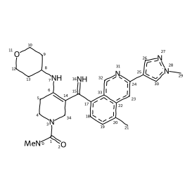 CNC(=O)N1CCC(NC2CCOCC2)=C(C(=N)c2ccc(C)c3cc(-c4cnn(C)c4)ncc23)C1